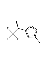 Cc1ccc([C@H](C)C(F)(F)F)o1